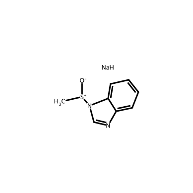 C[S+]([O-])n1cnc2ccccc21.[NaH]